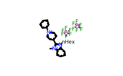 CCCCCCn1c(-c2cc[n+](-c3ccccc3)cc2)[n+](C)c2ccccc21.F[P-](F)(F)(F)(F)F.F[P-](F)(F)(F)(F)F